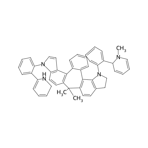 CN1C=CC=CC1c1ccccc1N1CCc2ccc3c(c21)-c1ccccc1-c1c(ccc2c1ccn2-c1ccccc1C1=CC=CCN1)C3(C)C